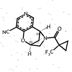 N#Cc1cncc2c1O[C@H]1C[C@@H]2N(C(=O)C2(C(F)(F)F)CC2)C1